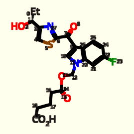 CC[C@@H](O)c1csc(C(=O)c2cn(COC(=O)CCCC(=O)O)c3cc(F)ccc23)n1